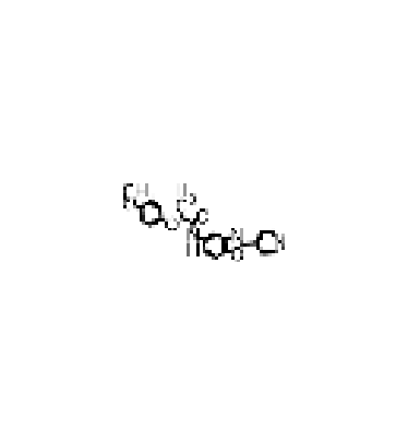 COc1ccc(OC(C)C(=O)Nc2ccc3oc(-c4ccncc4)nc3c2)cc1